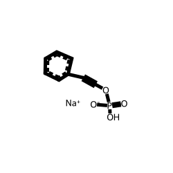 O=P([O-])(O)OC#Cc1ccccc1.[Na+]